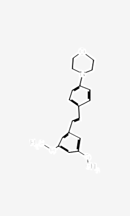 COc1cc(/C=C/c2ccc(N3CCOCC3)cc2)cc(OC)c1